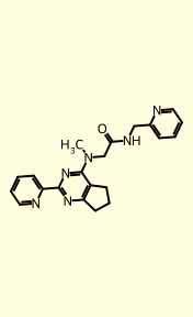 CN(CC(=O)NCc1ccccn1)c1nc(-c2ccccn2)nc2c1CCC2